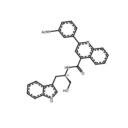 CC(=O)Nc1cccc(-c2cc(C(=O)N[C@@H](CO)Cc3c[nH]c4ccccc34)c3ccccc3n2)c1